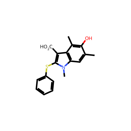 Cc1cc2c(c(C)c1O)c(C(=O)O)c(Sc1ccccc1)n2C